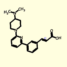 CN(C)C1CCN(c2cccc(-c3cccc(/C=C/C(=O)O)c3)n2)CC1